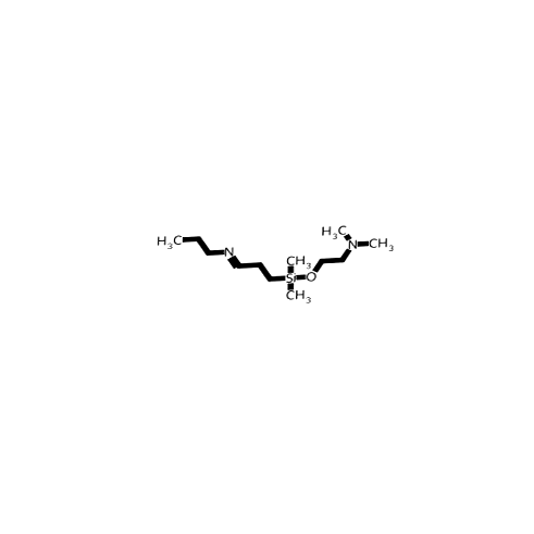 CCCN=CCC[Si](C)(C)OCCN(C)C